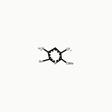 COc1nc(C(C)=O)c(N)cc1C(F)(F)F